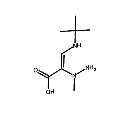 CN(N)/C(=C\NC(C)(C)C)C(=O)O